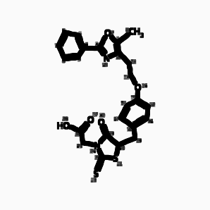 Cc1oc(-c2ccccc2)nc1CCOc1ccc(CC2SC(=S)N(CC(=O)O)C2=O)cc1